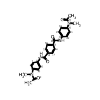 CC(=O)N(C)c1ccc(NC(=O)c2ccc(C(=O)Nc3ccc(N(C)C(C)=O)cc3)cc2)cc1